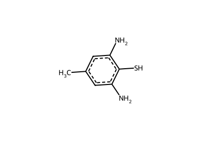 Cc1cc(N)c(S)c(N)c1